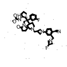 COC(=O)N[C@H]1CCC[C@@H]1[C@](CN1CCCC1=O)(c1cccc(F)c1)C1CCN(CC2CN(c3ccc(C#N)c(CN4CC(F)C4)c3)C2)CC1